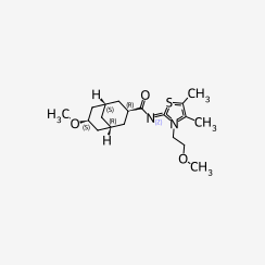 COCCn1c(C)c(C)s/c1=N\C(=O)[C@@H]1C[C@@H]2C[C@@H](C[C@@H](OC)C2)C1